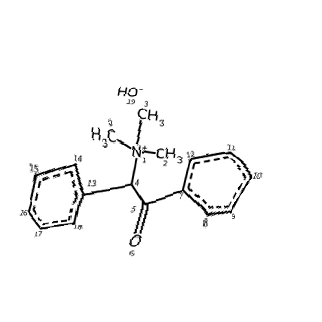 C[N+](C)(C)C(C(=O)c1ccccc1)c1ccccc1.[OH-]